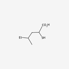 CCC(C)CC(S)C(=O)O